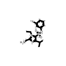 CCn1c(CN)nc(C(C)C)c1S(=O)(=O)Oc1cccc(F)c1